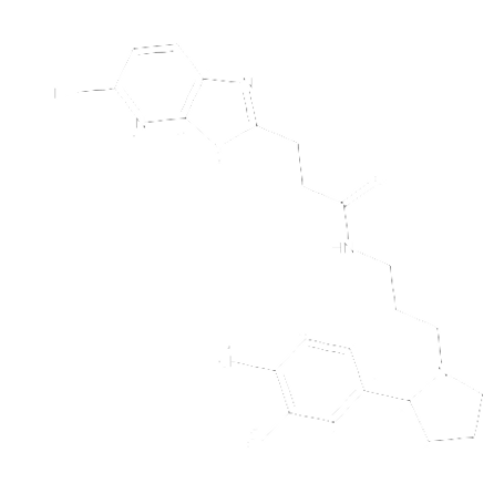 Cc1ccc2nc(CCC(=O)NCCCN3CCCC3c3ccc(Cl)c(Cl)c3)sc2n1